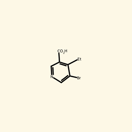 CCc1c(Br)cncc1C(=O)O